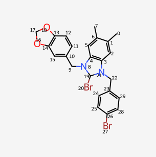 Cc1cc2c(cc1C)N(Cc1ccc3c(c1)OCO3)C(Br)N2Cc1ccc(Br)cc1